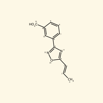 CC=Cc1nc(-c2cccc(C(=O)O)c2)no1